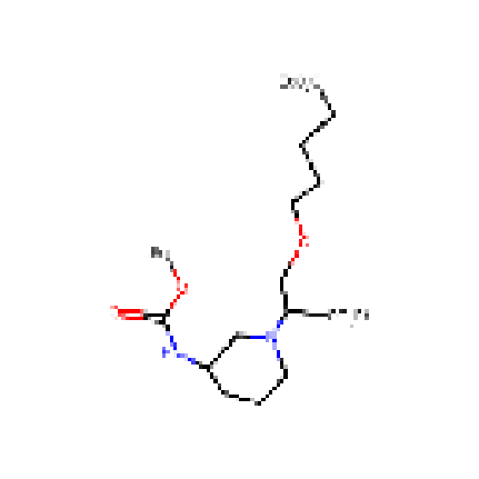 CCOC(=O)CCCCOCC(C(=O)OCC)N1CCCC(NC(=O)OC(C)(C)C)C1